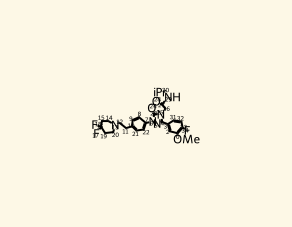 COc1cc(-c2nn(-c3ccc(CCN4CCC(F)(F)CC4)cc3)c(=O)n2CC(=O)NC(C)C)ccc1F